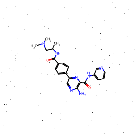 CC(CN(C)C)NC(=O)c1ccc(-c2cnc(N)c(C(=O)Nc3cccnc3)n2)cc1